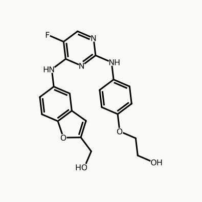 OCCOc1ccc(Nc2ncc(F)c(Nc3ccc4oc(CO)cc4c3)n2)cc1